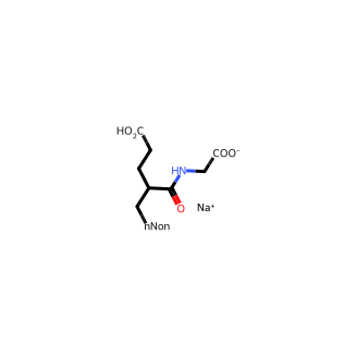 CCCCCCCCCCC(CCC(=O)O)C(=O)NCC(=O)[O-].[Na+]